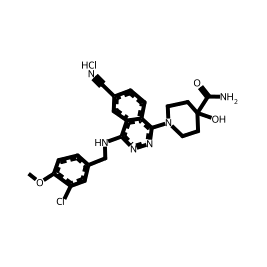 COc1ccc(CNc2nnc(N3CCC(O)(C(N)=O)CC3)c3ccc(C#N)cc23)cc1Cl.Cl